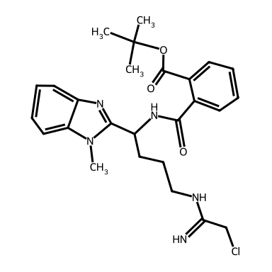 Cn1c(C(CCCNC(=N)CCl)NC(=O)c2ccccc2C(=O)OC(C)(C)C)nc2ccccc21